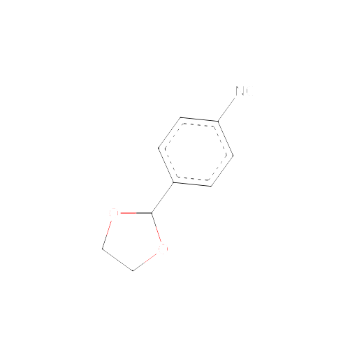 [C-]#[N+]c1ccc(C2OCCO2)cc1